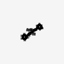 CC[Si](C#Cc1ccccc1)(C#Cc1ccccc1)OC(C)=O